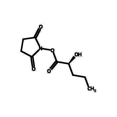 CCC[C@H](O)C(=O)ON1C(=O)CCC1=O